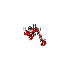 CCCCCCN(C(=O)[C@@H](NC(=O)[C@H]1CCCCN1C)[C@@H](C)CC)[C@H](C[C@@H](OC(C)=O)c1nc(C(=O)N[C@@H](Cc2ccc(F)cc2)CC(C)(C)C(=O)NS(=O)(=O)c2ccc(NC(=O)[C@H](CCCNC(N)=O)NC(=O)[C@@H](NC(=O)CCOCCOCCOCCOCCNC(=O)CCC(=O)N3Cc4ccccc4C4=C(C4)c4ccccc43)C(C)C)cc2)cs1)C(C)C